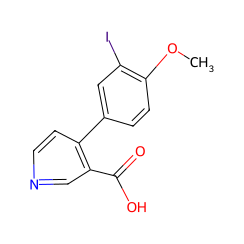 COc1ccc(-c2ccncc2C(=O)O)cc1I